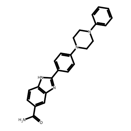 NC(=O)c1ccc2[nH]c(-c3ccc(N4CCN(c5ccccc5)CC4)cc3)nc2c1